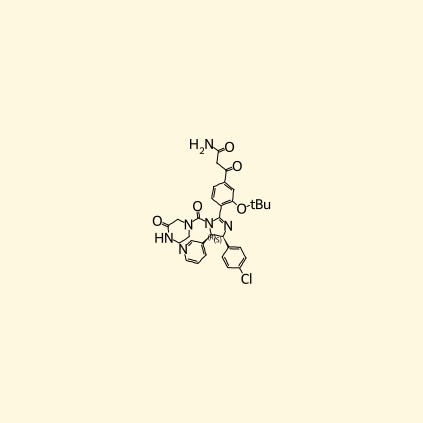 CC(C)(C)Oc1cc(C(=O)CC(N)=O)ccc1C1=N[C@@H](c2ccc(Cl)cc2)[C@@H](c2cccnc2)N1C(=O)N1CCNC(=O)C1